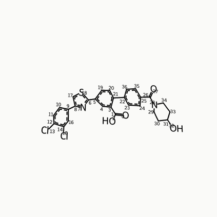 O=C(O)c1cc(-c2nc(-c3ccc(Cl)c(Cl)c3)cs2)ccc1-c1ccc(C(=O)N2CCC(O)CC2)cc1